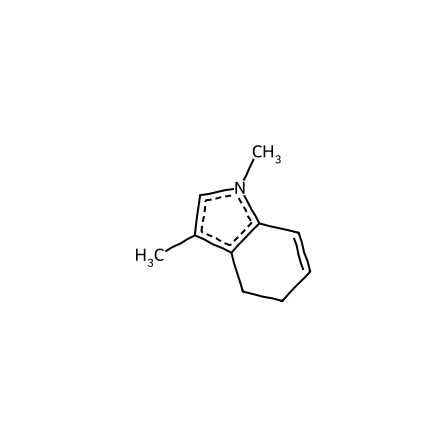 Cc1cn(C)c2c1CCC=C2